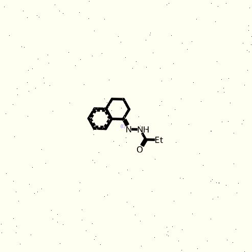 CCC(=O)N/N=C1\CCCc2ccccc21